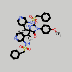 CC(c1ccncc1NS(=O)(=O)Cc1ccccc1)C1(C(C)c2ccncc2NS(=O)(=O)Cc2ccccc2)NC(=O)N(c2ccc(OC(F)(F)F)cc2)C1=O